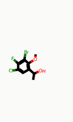 COc1c(C(C)O)cc(Cl)c(F)c1Br